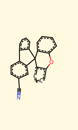 N#Cc1ccc2c(c1)C1(c3ccccc3Oc3ccccc31)c1ccccc1-2